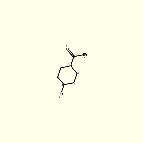 [CH2]CC1CCN(C(=O)C(C)C)CC1